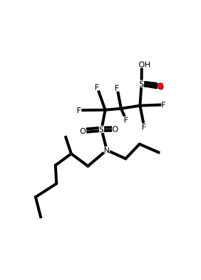 CCCCC(C)CN(CCC)S(=O)(=O)C(F)(F)C(F)(F)C(F)(F)S(=O)(=O)O